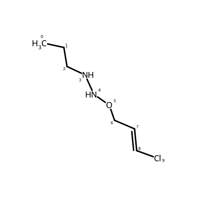 C[CH]CNNOCC=CCl